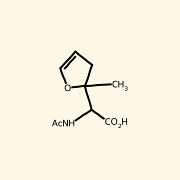 CC(=O)NC(C(=O)O)C1(C)CC=CO1